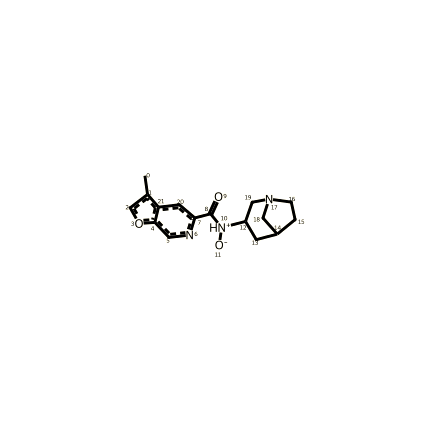 Cc1coc2cnc(C(=O)[NH+]([O-])C3CC4CCN(C4)C3)cc12